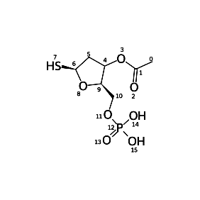 CC(=O)OC1C[C@H](S)O[C@@H]1COP(=O)(O)O